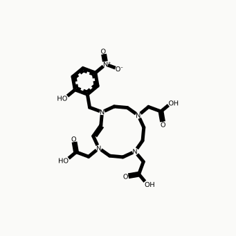 O=C(O)CN1/C=C/N(Cc2cc([N+](=O)[O-])ccc2O)CCN(CC(=O)O)CCN(CC(=O)O)CC1